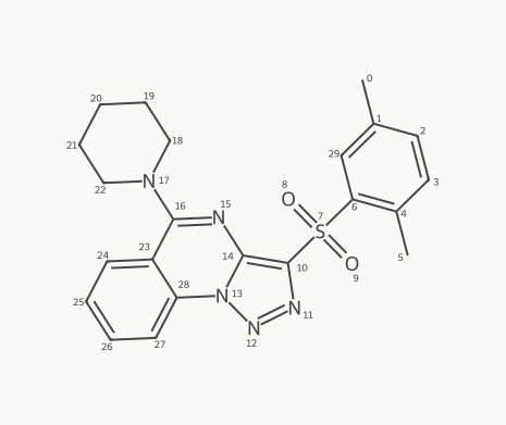 Cc1ccc(C)c(S(=O)(=O)c2nnn3c2nc(N2CCCCC2)c2ccccc23)c1